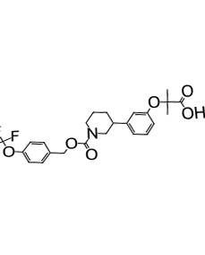 CC(C)(Oc1cccc(C2CCCN(C(=O)OCc3ccc(OC(F)(F)F)cc3)C2)c1)C(=O)O